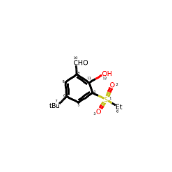 CCS(=O)(=O)c1cc(C(C)(C)C)cc(C=O)c1O